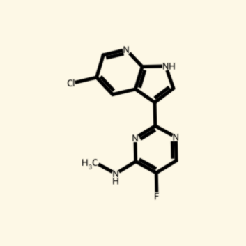 CNc1nc(-c2c[nH]c3ncc(Cl)cc23)ncc1F